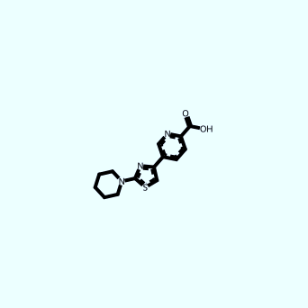 O=C(O)c1ccc(-c2csc(N3CCCCC3)n2)cn1